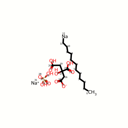 CCCCCCCCCCC[CH2][Na].O=C([O-])CC(O)(CC(=O)O)C(=O)O.O=S(=O)(O)O.[Na+]